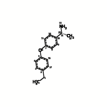 CCc1ccc(Oc2ccc([C@@H](C)N)cc2)cc1